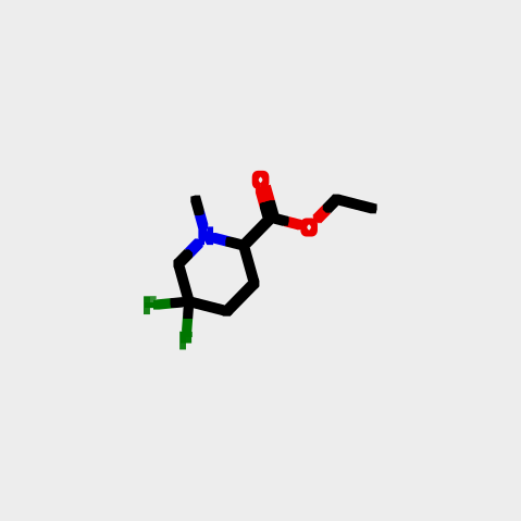 CCOC(=O)C1CCC(F)(F)CN1C